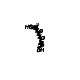 CC(C)(CCO)CCC(=O)CCCC(=O)CCC(C)(C)CCO